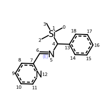 C[Si](C)(C)C(/N=C/c1ccccn1)c1ccccc1